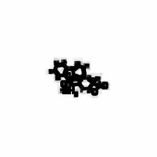 CC1(C)C(=O)O[C@H]1CCCC(O[SiH3])(c1ccccc1)c1ccccc1